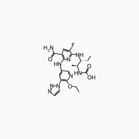 CCOc1ncc(Nc2nc(N[C@H](CC)[C@H](C)NC(=O)O)c(F)cc2C(N)=O)cc1-n1ccnn1